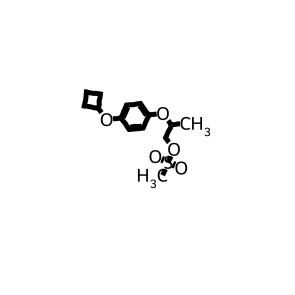 CC(COS(C)(=O)=O)Oc1ccc(OC2CCC2)cc1